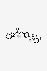 Cc1c(F)cccc1S(=O)(=O)c1ccc(CNC(=O)c2cc3cnccc3[nH]2)cc1